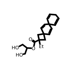 CCC1(C(=O)OC(CO)CO)CC2(C=CC3(C=CCC=C3)C=C2)C1